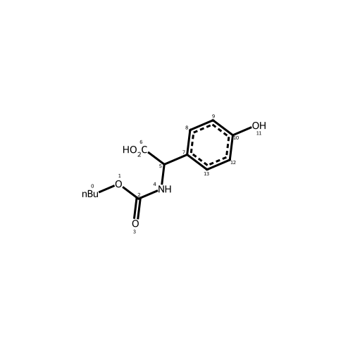 CCCCOC(=O)NC(C(=O)O)c1ccc(O)cc1